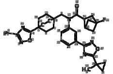 CC(C)c1noc(C23CCC(CN(C(=O)C4CC5(F)CC4C5)c4cccc(-c5noc(C6(C)CC6)n5)c4)(CC2)CC3)n1